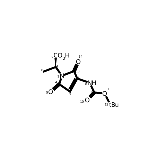 C[C@@H](C(=O)O)N1C(=O)C=C(NC(=O)OC(C)(C)C)C1=O